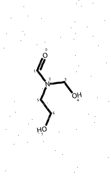 O=[C]N(CO)CCO